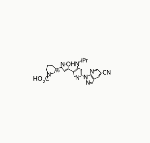 CC(C)Nc1cc(-n2ncc3cc(C#N)cnc32)ncc1-c1cc([C@@H]2CCCN(C(=O)O)C2)no1